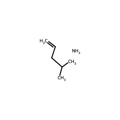 C=CCC(C)C.N